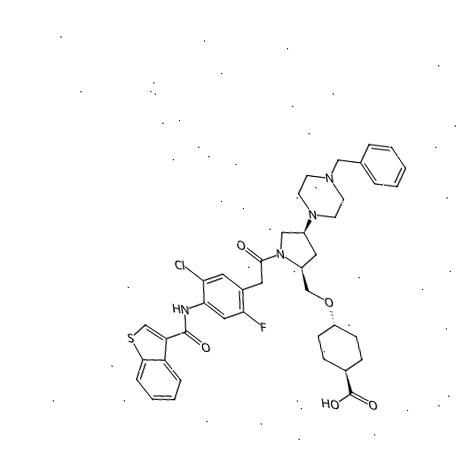 O=C(Nc1cc(F)c(CC(=O)N2C[C@@H](N3CCN(Cc4ccccc4)CC3)C[C@H]2CO[C@H]2CC[C@H](C(=O)O)CC2)cc1Cl)c1csc2ccccc12